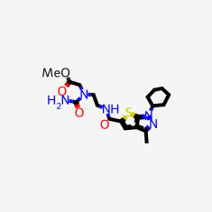 COC(=O)CN(CCNC(=O)c1cc2c(C)nn(C3CCCCC3)c2s1)C(N)=O